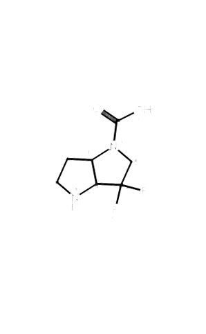 O=C(O)N1CC(F)(F)C2NCCC21